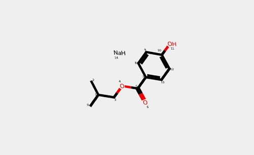 CC(C)COC(=O)c1ccc(O)cc1.[NaH]